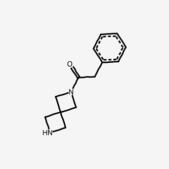 O=C(Cc1ccccc1)N1CC2(CNC2)C1